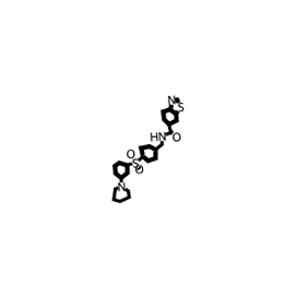 O=C(NCc1ccc(S(=O)(=O)c2cccc(N3CCCCC3)c2)cc1)c1ccc2ncsc2c1